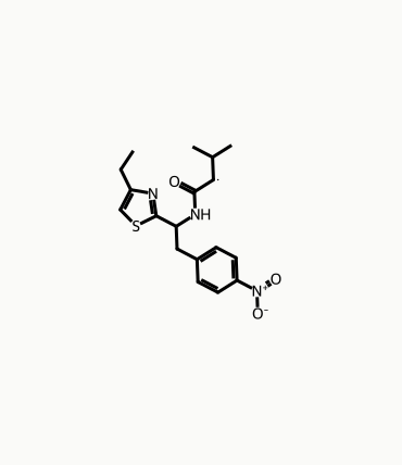 CCc1csc(C(Cc2ccc([N+](=O)[O-])cc2)NC(=O)[CH]C(C)C)n1